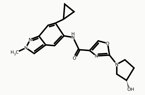 Cn1cc2cc(NC(=O)c3coc(N4CC[C@H](O)C4)n3)c(C3CC3)cc2n1